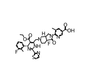 CCOC(=O)C1=C(CN2CC[C@]3(F)C(=O)N(c4ncc(C(=O)O)cc4C)C[C@@H]3C2)NC(c2nccs2)=N[C@H]1c1cccc(F)c1C